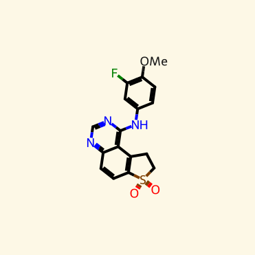 COc1ccc(Nc2ncnc3ccc4c(c23)CCS4(=O)=O)cc1F